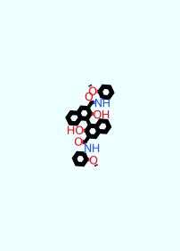 COc1ccccc1NC(=O)c1cc2ccccc2c(-c2c(O)c(C(=O)Nc3ccccc3OC)cc3ccccc23)c1O